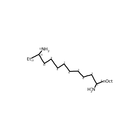 CCCCCCCCC(N)CCCCCCCCC(N)CC